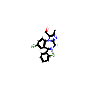 Cc1nc2n(c1C=O)-c1ccc(Br)cc1C(c1ccccc1Cl)=NC2